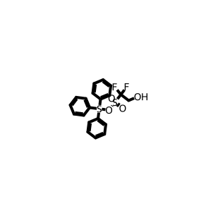 O=S(=O)(OS(c1ccccc1)(c1ccccc1)c1ccccc1)C(F)(F)CO